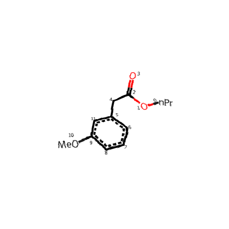 CCCOC(=O)Cc1cccc(OC)c1